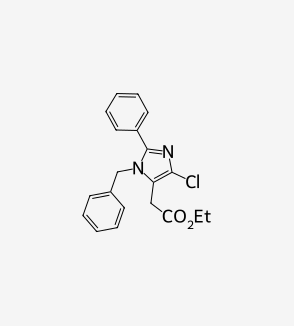 CCOC(=O)Cc1c(Cl)nc(-c2ccccc2)n1Cc1ccccc1